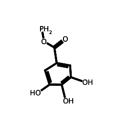 O=C(OP)c1cc(O)c(O)c(O)c1